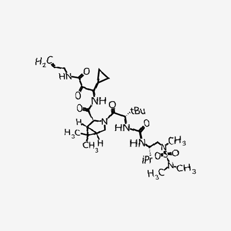 C=CCNC(=O)C(=O)C(NC(=O)[C@@H]1[C@@H]2[C@H](CN1C(=O)[C@@H](NC(=O)N[C@H](CN(C)S(=O)(=O)N(C)C)C(C)C)C(C)(C)C)C2(C)C)C1CC1